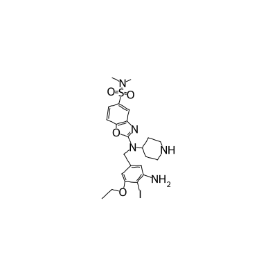 CCOc1cc(CN(c2nc3cc(S(=O)(=O)N(C)C)ccc3o2)C2CCNCC2)cc(N)c1I